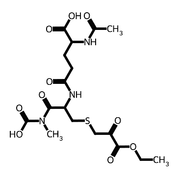 CCOC(=O)C(=O)CSCC(NC(=O)CCC(NC(C)=O)C(=O)O)C(=O)N(C)C(=O)O